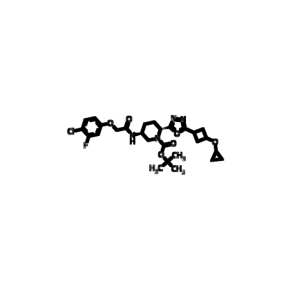 CC(C)(C)OC(=O)N1C[C@@H](NC(=O)COc2ccc(Cl)c(F)c2)CC[C@@H]1c1nnc(C2CC(OC3CC3)C2)o1